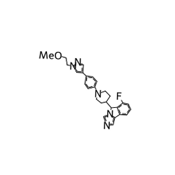 COCCn1cc(-c2ccc(N3CCC(C4c5c(F)cccc5-c5cncn54)CC3)cc2)cn1